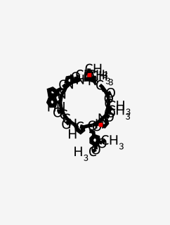 COc1ccc(CC[C@H]2OC(=O)[C@@H]3CCCCN3C(=O)C(=O)C(C)(C)COC(=O)/C=C/CCN(C)C(=O)[C@H](CC(C)C)N(C)C(=O)[C@H]3CCCN3C(=O)[C@H](Cc3ccccc3)NC(=O)[C@H](c3ccccc3)NC(=O)CCC(=O)Nc3cccc2c3)cc1OC